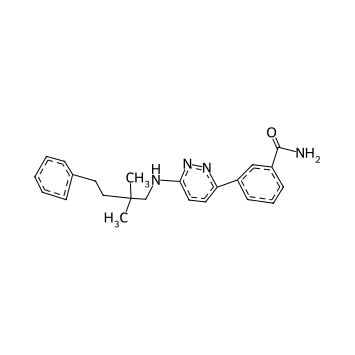 CC(C)(CCc1ccccc1)CNc1ccc(-c2cccc(C(N)=O)c2)nn1